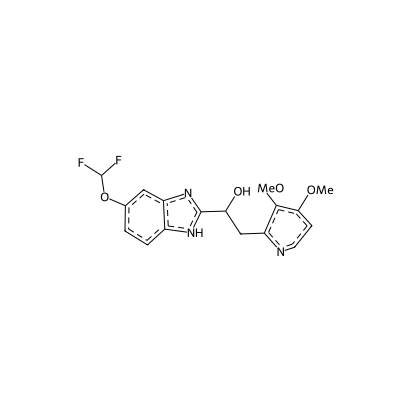 COc1ccnc(CC(O)c2nc3cc(OC(F)F)ccc3[nH]2)c1OC